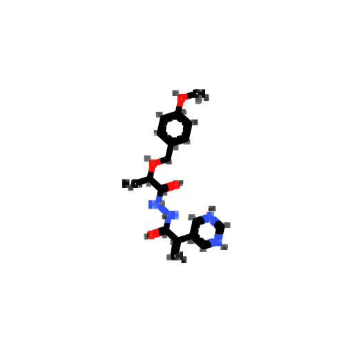 C=C(C(=O)NNC(=O)C(C)OCc1ccc(OC)cc1)c1cncnc1